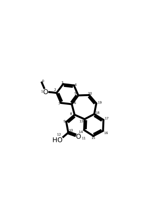 COc1ccc2c(c1)/C(=C/C(=O)O)c1ccccc1C=C2